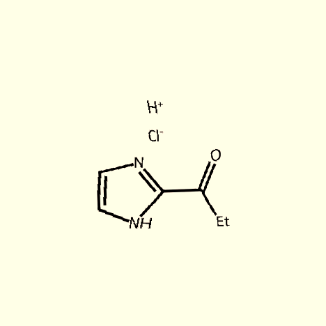 CCC(=O)c1ncc[nH]1.[Cl-].[H+]